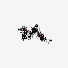 CC[C@@]1(O)C(=O)OCc2c1cc1n(c2=O)Cc2c-1nc1cc(C)c(C)c3c1c2[C@@H](NC(=O)[C@H](C)OCNC(=O)CNC(=O)[C@H](Cc1ccccc1)NC(=O)CNC(=O)CNC(=O)C(CNCC(=O)O)N1C(=O)C=CC1=O)CC3